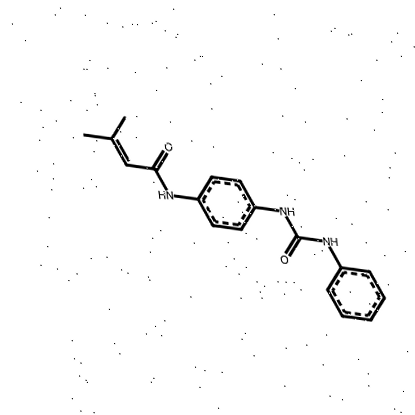 CC(C)=CC(=O)Nc1ccc(NC(=O)Nc2ccccc2)cc1